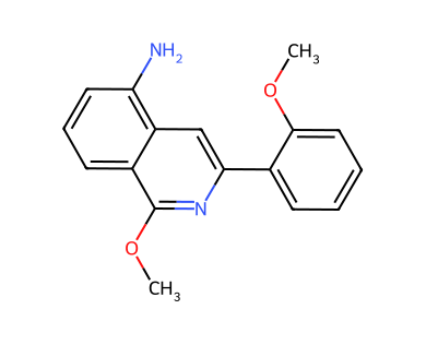 COc1ccccc1-c1cc2c(N)cccc2c(OC)n1